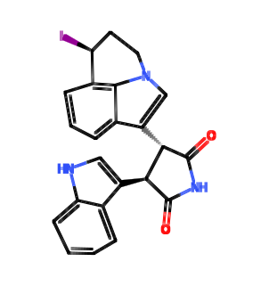 O=C1NC(=O)[C@@H](c2cn3c4c(cccc24)[C@@H](I)CC3)[C@@H]1c1c[nH]c2ccccc12